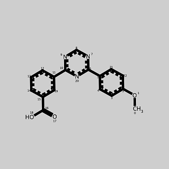 COc1ccc(-c2ncnc(-c3cccc(C(=O)O)c3)n2)cc1